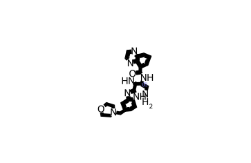 N=C(/C(=C\N)NC(=O)c1cccc2nccnc12)c1nc2cc(CN3CCOCC3)ccc2[nH]1